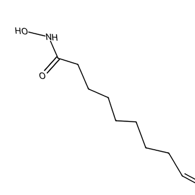 [CH]=CCCCCCCCC(=O)NO